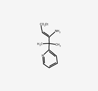 CCOC(=O)/C=C(\N)C(C)(C)c1ccccn1